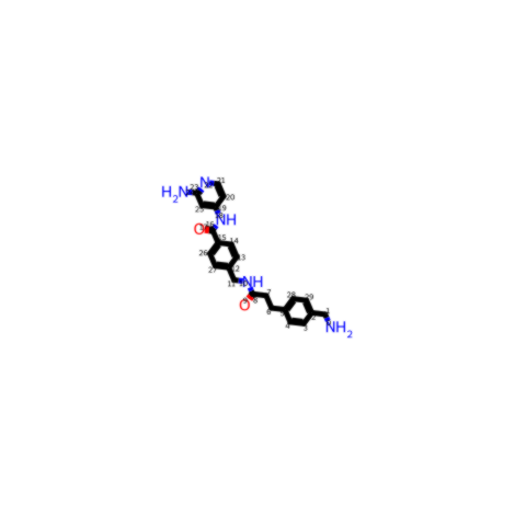 NCc1ccc(CCC(=O)NCc2ccc(C(=O)Nc3ccnc(N)c3)cc2)cc1